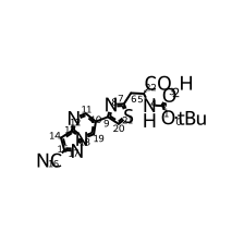 CC(C)(C)OC(=O)N[C@@H](Cc1nc(-c2cnc3cc(C#N)nn3c2)cs1)C(=O)O